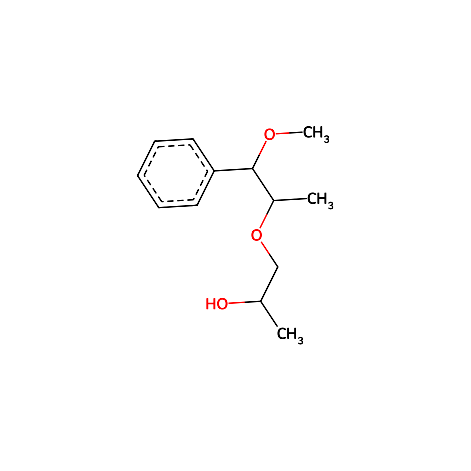 COC(c1ccccc1)C(C)OCC(C)O